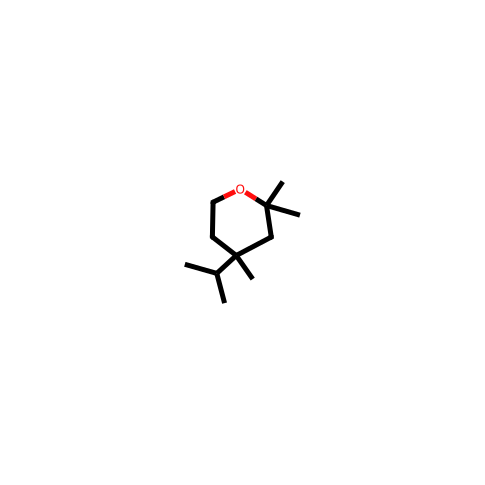 CC(C)C1(C)CCOC(C)(C)C1